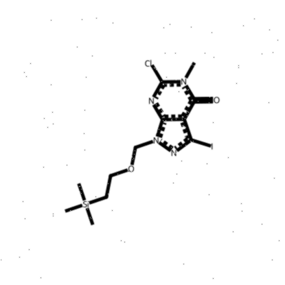 Cn1c(Cl)nc2c(c(I)nn2COCC[Si](C)(C)C)c1=O